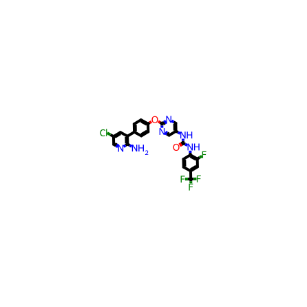 Nc1ncc(Cl)cc1-c1ccc(Oc2ncc(NC(=O)Nc3ccc(C(F)(F)F)cc3F)cn2)cc1